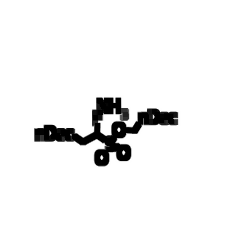 CCCCCCCCCCCOS(=O)(=O)C(F)CCCCCCCCCCC.N